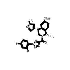 COc1ccc2c(c1)[C@@H](c1cnn(C)c1)CN(C(=O)c1nnn(-c3ccc(F)cc3F)n1)[C@H]2C